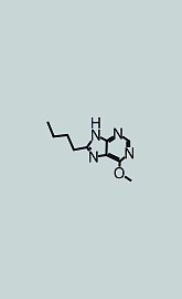 CCCCc1nc2c(OC)ncnc2[nH]1